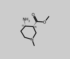 COC(=O)[C@@H]1CN(C)CC[C@@H]1N